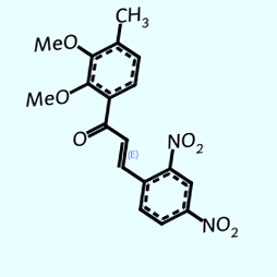 COc1c(C)ccc(C(=O)/C=C/c2ccc([N+](=O)[O-])cc2[N+](=O)[O-])c1OC